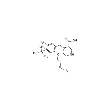 COCCOc1cc(C(C)(C)C)c(C)cc1CN1CCNC[C@H]1C(=O)O